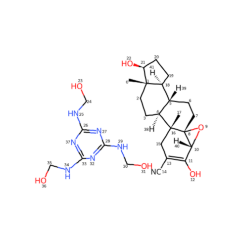 C[C@]12CC[C@H]3[C@@H](CC[C@@]45O[C@@H]4C(O)=C(C#N)C[C@]35C)[C@@H]1CC[C@@H]2O.OCNc1nc(NCO)nc(NCO)n1